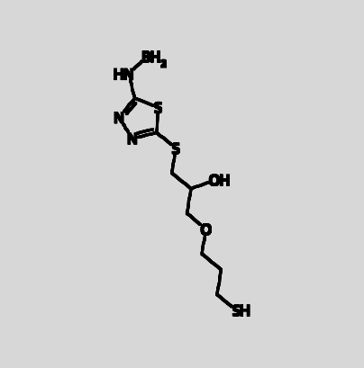 BNc1nnc(SCC(O)COCCCS)s1